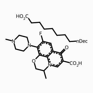 CC1COc2c(N3CCN(C)CC3)c(F)cc3c(=O)c(C(=O)O)cn1c23.CCCCCCCCCCCCCCCCCC(=O)O